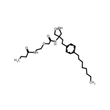 CCCCCCCCc1ccc(CCC(CO)(CO)NC(=O)COCCNC(=O)CCC)cc1